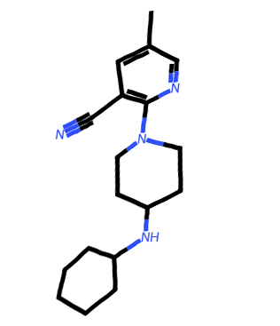 Cc1cnc(N2CCC(NC3CCCCC3)CC2)c(C#N)c1